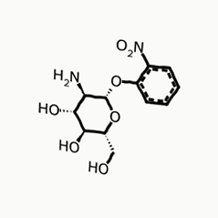 N[C@H]1[C@H](Oc2ccccc2[N+](=O)[O-])O[C@H](CO)[C@@H](O)[C@@H]1O